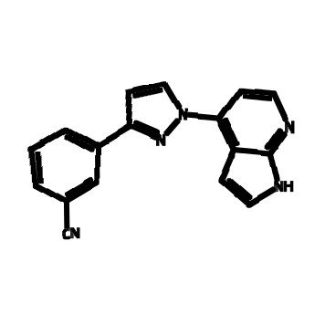 N#Cc1cccc(-c2ccn(-c3ccnc4[nH]ccc34)n2)c1